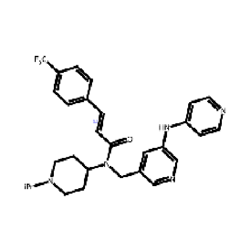 CC(C)N1CCC(N(Cc2cncc(Nc3ccncc3)c2)C(=O)/C=C/c2ccc(C(F)(F)F)cc2)CC1